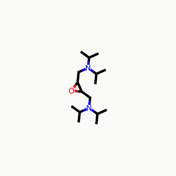 CC(C)N(CC1OC1CN(C(C)C)C(C)C)C(C)C